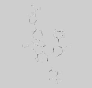 CC(C)(C)C[C@]1(C2(C)C=CC(c3cnn(C(F)F)c3)=CC2)NC(=N)N([C@H](COC(=O)NC2(C(F)(F)F)CC2)c2ccc(Cl)c(-c3nnn[nH]3)c2)C1=O